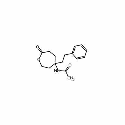 CC(=O)NC1(CCc2ccccc2)CCOC(=O)CC1